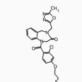 Cc1nnc(CN2Cc3ccccc3N(C(=O)c3ccc(OCCF)cc3Cl)CC2=O)o1